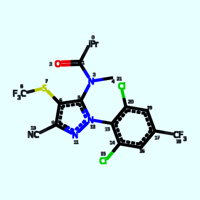 CC(C)C(=O)N(C)c1c(SC(F)(F)F)c(C#N)nn1-c1c(Cl)cc(C(F)(F)F)cc1Cl